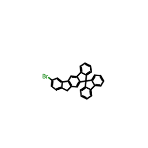 Brc1ccc2c(c1)-c1cc3c(cc1C2)C1(c2ccccc2-c2ccccc21)c1ccccc1-3